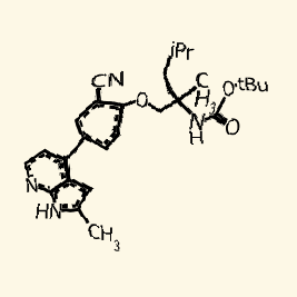 Cc1cc2c(-c3ccc(OCC(C)(CC(C)C)NC(=O)OC(C)(C)C)c(C#N)c3)ccnc2[nH]1